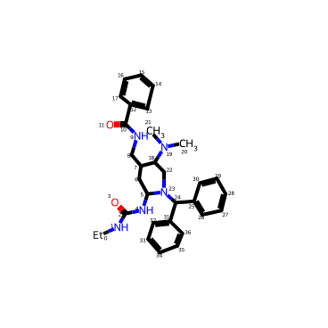 CCNC(=O)NC1CC(CNC(=O)c2ccccc2)C(N(C)C)CN1C(c1ccccc1)c1ccccc1